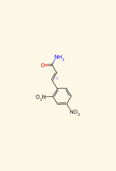 NC(=O)/C=C/c1ccc([N+](=O)[O-])cc1[N+](=O)[O-]